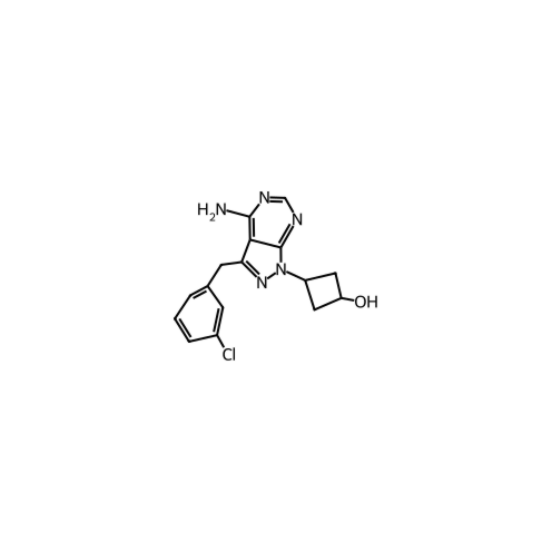 Nc1ncnc2c1c(Cc1cccc(Cl)c1)nn2C1CC(O)C1